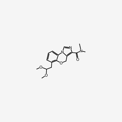 COC(Cc1cccc2c1OCc1c(C(=O)N(C)C)ncn1-2)OC